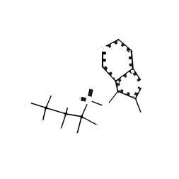 CCOC(=O)c1sc2ccncc2c1OS(=O)(=O)C(F)(F)C(F)(F)C(F)(F)C(F)(F)F